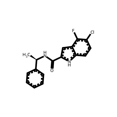 C[C@@H](NC(=O)c1cc2c(F)c(Cl)ccc2[nH]1)c1ccccc1